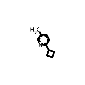 Cc1ccc(C2CCC2)nc1